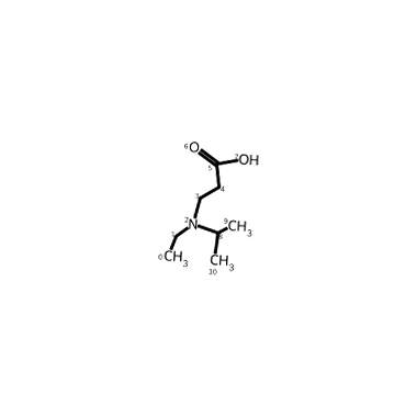 CCN(CCC(=O)O)C(C)C